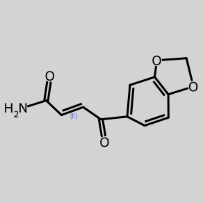 NC(=O)/C=C/C(=O)c1ccc2c(c1)OCO2